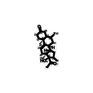 CC(=O)[C@@]1(O)C(C)C[C@H]2[C@@H]3CC(F)C4CC(=O)CC[C@]4(C)C3=CC[C@@]21C